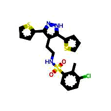 Cc1c(Cl)cccc1S(=O)(=O)NCCc1c(-c2cccs2)n[nH]c1-c1cccs1